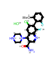 COc1cccc(F)c1-c1c(Cl)cc2c(N3CCNCC3)c(C(N)=O)cnc2c1F.Cl